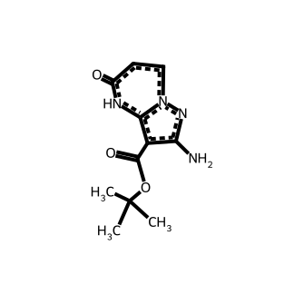 CC(C)(C)OC(=O)c1c(N)nn2ccc(=O)[nH]c12